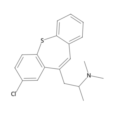 CC(CC1=Cc2ccccc2Sc2ccc(Cl)cc21)N(C)C